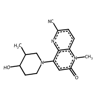 CC1CN(c2cc(=O)n(C)c3ccc(C#N)nc23)CCC1O